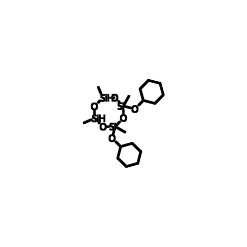 C[SiH]1O[SiH](C)O[Si](C)(OC2CCCCC2)O[Si](C)(OC2CCCCC2)O1